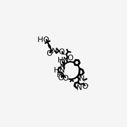 CCn1c(-c2cccnc2[C@H](C)OC)c2c3cc(ccc31)-c1cccc(c1)C[C@H](NC(=O)[C@@H](COC1CN(C(=O)C#CC(C)(C)O)C1)C(C)C)C(=O)N1CCC[C@H](N1)C(=O)OCC(C)(C)C2